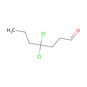 CCCC(Cl)(Cl)CCC=O